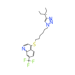 CC[C](CC)c1cn(CCCCCCSc2ccnc3cc(C(F)(F)F)ccc23)nn1